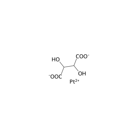 O=C([O-])C(O)C(O)C(=O)[O-].[Pt+2]